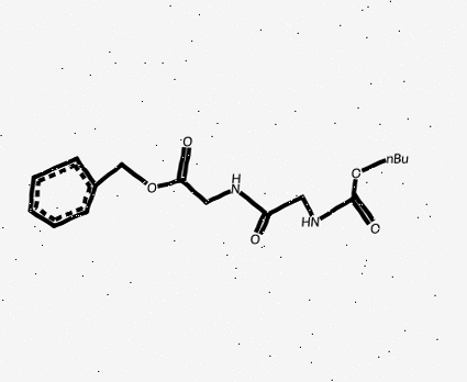 CCCCOC(=O)NCC(=O)NCC(=O)OCc1ccccc1